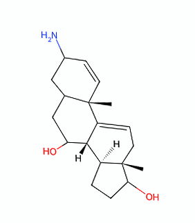 C[C@]12C=CC(N)CC1CC(O)[C@@H]1C2=CC[C@]2(C)C(O)CC[C@@H]12